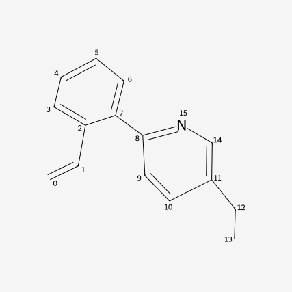 C=Cc1ccccc1-c1ccc(CC)cn1